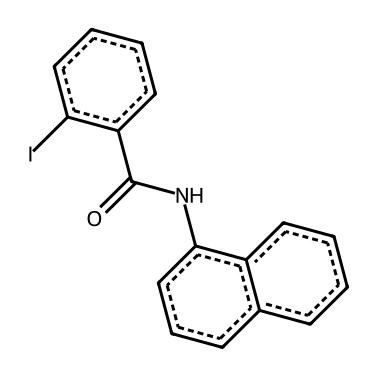 O=C(Nc1cccc2ccccc12)c1ccccc1I